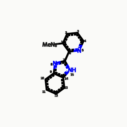 CNc1cccnc1-c1nc2ccccc2[nH]1